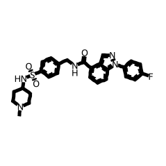 CN1CCC(NS(=O)(=O)c2ccc(CNC(=O)c3cccc4c3cnn4-c3ccc(F)cc3)cc2)CC1